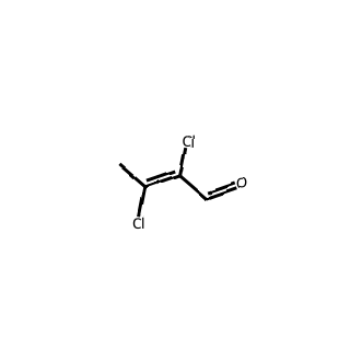 C/C(Cl)=C(\Cl)C=O